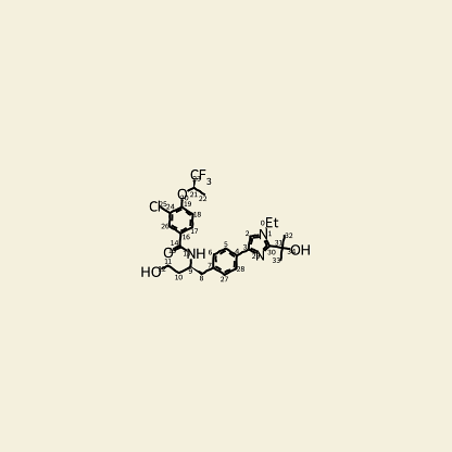 CCn1cc(-c2ccc(C[C@@H](CCO)NC(=O)c3ccc(O[C@H](C)C(F)(F)F)c(Cl)c3)cc2)nc1C(C)(C)O